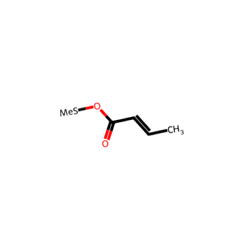 CC=CC(=O)OSC